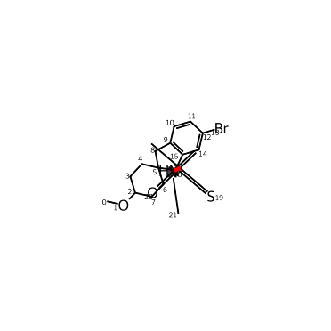 COC1CCC2(CC1)Cc1ccc(Br)cc1C21NC(=S)N(C)C1=O